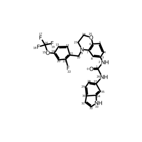 O=C(Nc1ccc2c(c1)N(Cc1ccc(OC(F)(F)F)cc1F)CCO2)Nc1ccc2cc[nH]c2c1